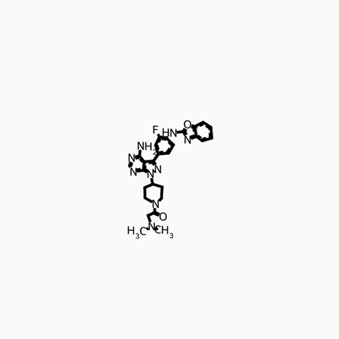 CN(C)CC(=O)N1CCC(n2nc(-c3ccc(Nc4nc5ccccc5o4)c(F)c3)c3c(N)ncnc32)CC1